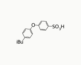 CCC(C)c1ccc(Oc2ccc(S(=O)(=O)O)cc2)cc1